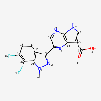 Cn1nc(-c2cnc3[nH]cc(C(=O)O)c3n2)c2ccc(F)c(F)c21